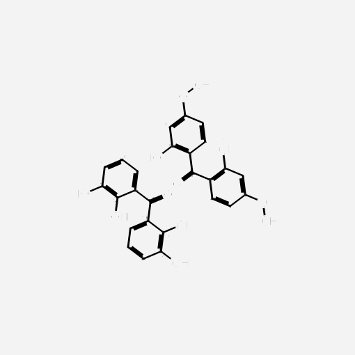 COc1ccc(C(=O)c2ccc(OC)cc2O)c(O)c1.O=C(c1cccc(O)c1O)c1cccc(O)c1O